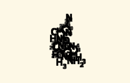 C[C@@]12CCCN=S1(=O)C[C@@](C)(c1nc(NC(=O)c3ncc(C#N)cc3Cl)ccc1F)N=C2N